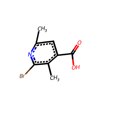 Cc1cc(C(=O)O)c(C)c(Br)n1